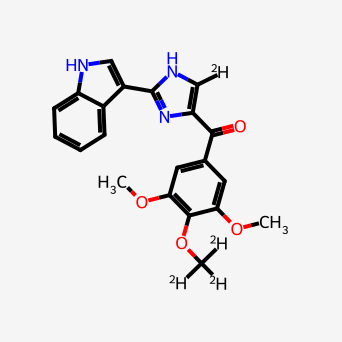 [2H]c1[nH]c(-c2c[nH]c3ccccc23)nc1C(=O)c1cc(OC)c(OC([2H])([2H])[2H])c(OC)c1